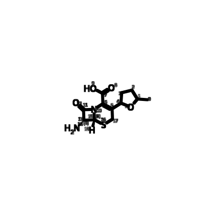 CC1CCC(C2=C(C(=O)O)N3C(=O)[C@@H](N)[C@H]3SC2)O1